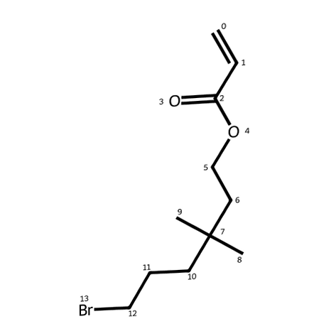 C=CC(=O)OCCC(C)(C)CCCBr